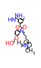 C[C@H]1CCC[C@@](C)(CCCCCN2C(=O)C(c3cccc(C(=N)N)c3)Oc3ccc(OCCO)cc32)N1